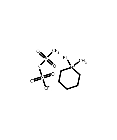 CC[N+]1(C)CCCCC1.O=S(=O)([N-]S(=O)(=O)C(F)(F)F)C(F)(F)F